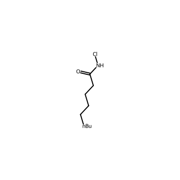 CCCCCCCCC(=O)NCl